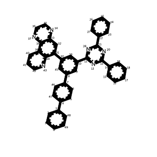 c1ccc(-c2ccc(-c3cc(-c4nc(-c5ccccc5)nc(-c5ccccc5)n4)cc(-c4cc5nccnc5c5cccnc45)c3)cc2)cc1